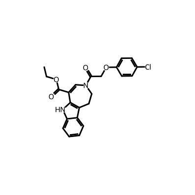 CCOC(=O)C1=CN(C(=O)COc2ccc(Cl)cc2)CCc2c1[nH]c1ccccc21